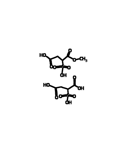 COC(=O)C(CC(=O)O)S(=O)(=O)O.O=C(O)CC(C(=O)O)S(=O)(=O)O